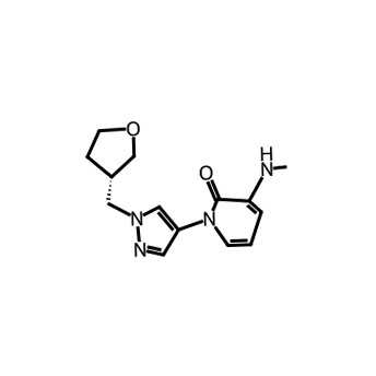 CNc1cccn(-c2cnn(C[C@@H]3CCOC3)c2)c1=O